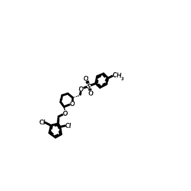 Cc1ccc(S(=O)(=O)OC[C@H]2CCC[C@@H](OCc3c(Cl)cccc3Cl)O2)cc1